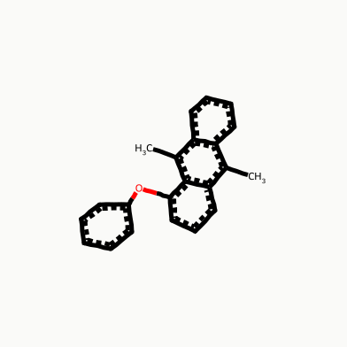 Cc1c2ccccc2c(C)c2c(Oc3ccccc3)cccc12